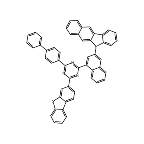 c1ccc(-c2ccc(-c3nc(-c4ccc5c(c4)sc4ccccc45)nc(-c4cc(-n5c6ccccc6c6cc7ccccc7cc65)cc5ccccc45)n3)cc2)cc1